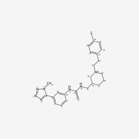 Cn1nnnc1-c1cccc(NC(=O)NCC2CCCN(CCc3ccc(F)cc3)C2)c1